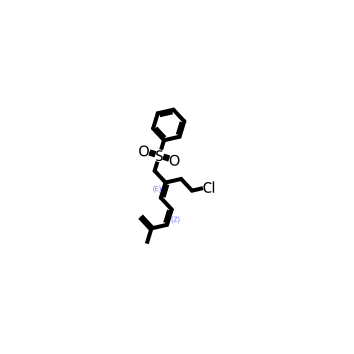 C=C(C)/C=C\C=C(/CCCl)CS(=O)(=O)c1ccccc1